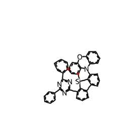 C[Si]1(C)c2c(-c3nc(-c4ccccc4)nc(-c4ccccc4)n3)cccc2-c2cccc(N3c4ccccc4Oc4ccccc43)c21